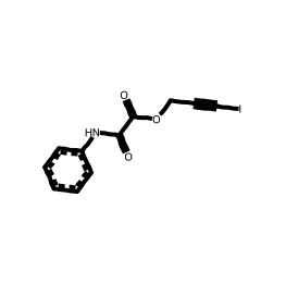 O=C(Nc1ccccc1)C(=O)OCC#CI